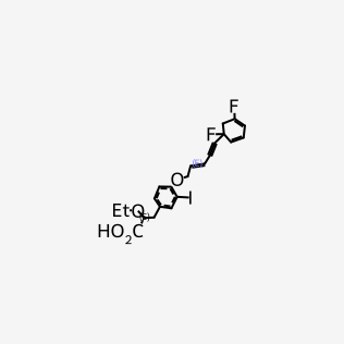 CCO[C@@H](Cc1ccc(OC/C=C/C#CC2(F)C=CC=C(F)C2)c(I)c1)C(=O)O